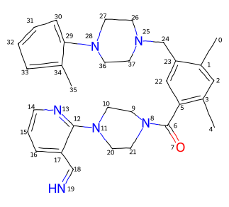 Cc1cc(C)c(C(=O)N2CCN(c3ncccc3C=N)CC2)cc1CN1CCN(c2ccccc2C)CC1